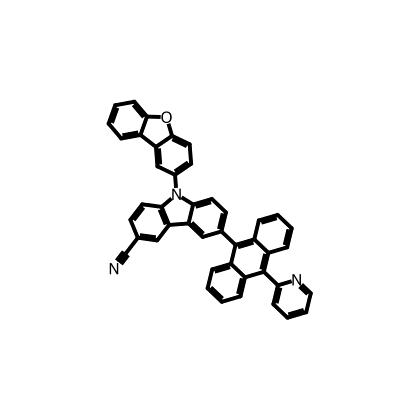 N#Cc1ccc2c(c1)c1cc(-c3c4ccccc4c(-c4ccccn4)c4ccccc34)ccc1n2-c1ccc2oc3ccccc3c2c1